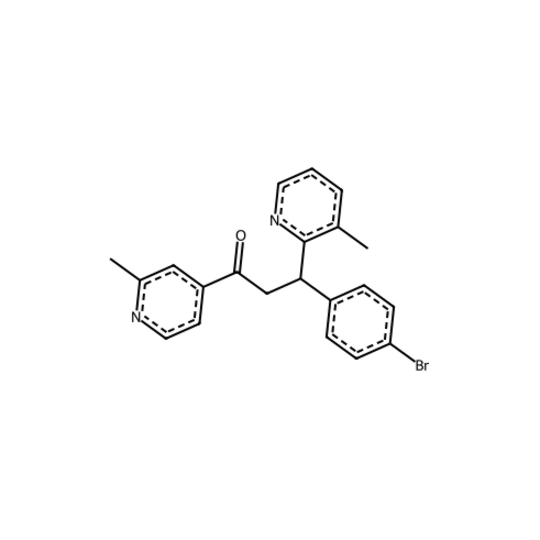 Cc1cc(C(=O)CC(c2ccc(Br)cc2)c2ncccc2C)ccn1